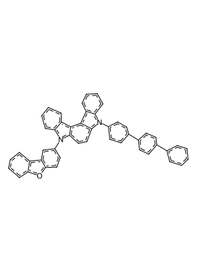 c1ccc(-c2ccc(-c3ccc(-n4c5ccccc5c5c6c7ccccc7n(-c7ccc8oc9ccccc9c8c7)c6ccc54)cc3)cc2)cc1